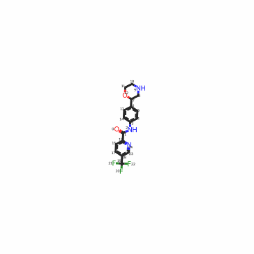 O=C(Nc1ccc(C2CNCCO2)cc1)c1ccc(C(F)(F)F)cn1